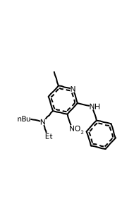 CCCCN(CC)c1cc(C)nc(Nc2ccccc2)c1[N+](=O)[O-]